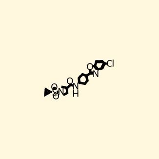 O=C(NC1CCC(c2nc3cc(Cl)ccc3o2)CC1)C1CCN(S(=O)(=O)C2CC2)C1